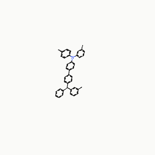 Cc1ccc(N(c2ccc(-c3ccc(C(c4ccccc4)c4cccc(C)c4)cc3)cc2)c2cccc(C)c2)cc1